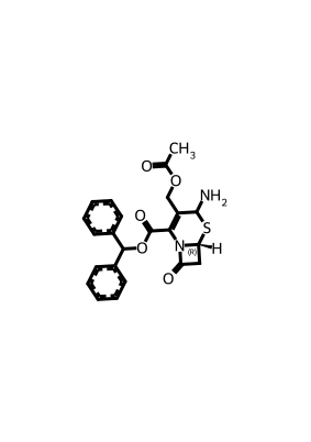 CC(=O)OCC1=C(C(=O)OC(c2ccccc2)c2ccccc2)N2C(=O)C[C@H]2SC1N